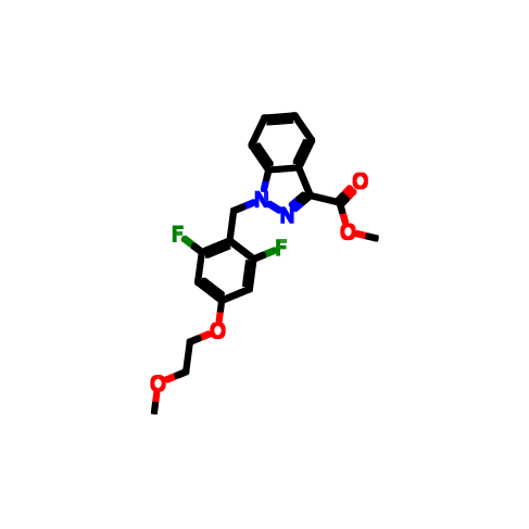 COCCOc1cc(F)c(Cn2nc(C(=O)OC)c3ccccc32)c(F)c1